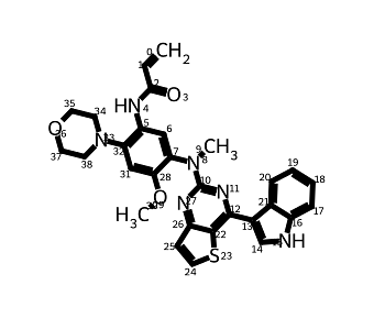 C=CC(=O)Nc1cc(N(C)c2nc(-c3c[nH]c4ccccc34)c3sccc3n2)c(OC)cc1N1CCOCC1